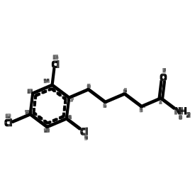 NC(=O)[CH]CCCc1c(Cl)cc(Cl)cc1Cl